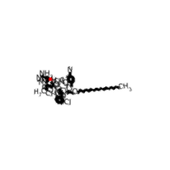 CCCCCCCCCCCCCCCCCCOCC(COP(=O)(OC[C@@](C#N)(OC)[C@H]1OC(C)(C)O[C@H]1c1ccc2c(N)ncnn12)Oc1ccccc1Cl)OCc1ccc(C#N)cc1OC